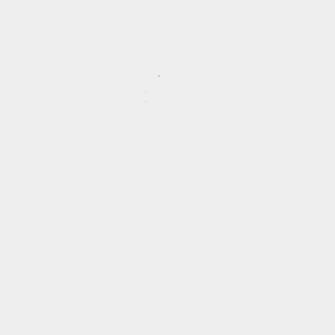 C/C(=N\O)c1ccc(Sc2ccc(C(=O)c3cc4ccccc4o3)cc2)cc1